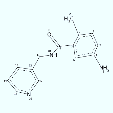 Cc1ccc(N)cc1C(=O)NCc1cccnc1